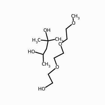 CC(O)CC(C)(C)O.COCCOCCOCCO